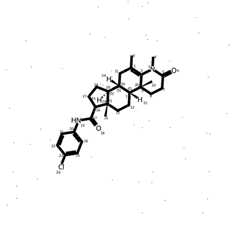 CC1=C2N(C)C(=O)CC[C@]2(C)[C@@H]2CC[C@]3(C)C(C(=O)Nc4ccc(Cl)cc4)CC[C@H]3[C@@H]2C1